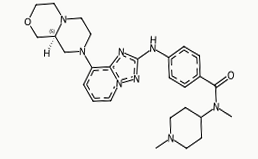 CN1CCC(N(C)C(=O)c2ccc(Nc3nc4c(N5CCN6CCOC[C@@H]6C5)cccn4n3)cc2)CC1